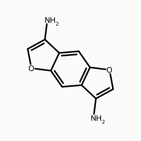 Nc1coc2cc3c(N)coc3cc12